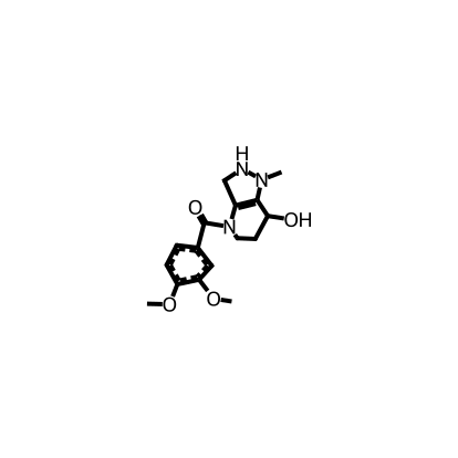 COc1ccc(C(=O)N2CCC(O)C3=C2CNN3C)cc1OC